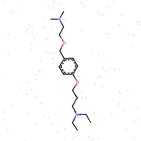 CCN(CC)CCCOc1ccc(COCCN(C)C)cc1